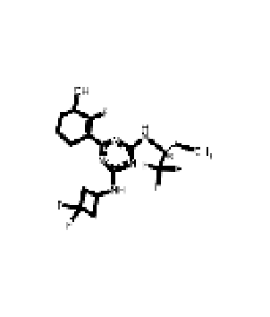 CC[C@@H](Nc1nc(NC2CC(F)(F)C2)nc(C2=C(F)C(O)CCC2)n1)C(F)(F)F